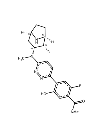 CNC(=O)c1cc(O)c(-c2ccc(N(C)[C@@H]3C[C@H]4CC[C@H](N4)[C@@H]3F)nn2)cc1F